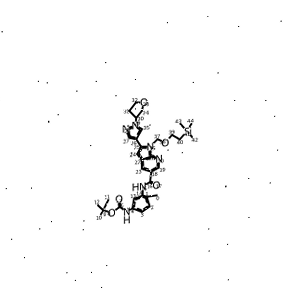 Cc1ccc(NC(=O)OC(C)(C)C)cc1NC(=O)c1cnc2c(c1)cc(-c1cnn(C3CCOC3)c1)n2COCC[Si](C)(C)C